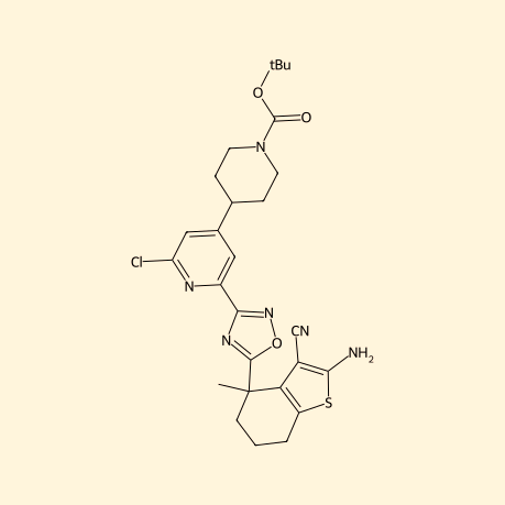 CC(C)(C)OC(=O)N1CCC(c2cc(Cl)nc(-c3noc(C4(C)CCCc5sc(N)c(C#N)c54)n3)c2)CC1